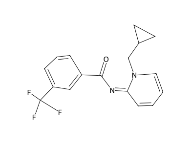 O=C(N=c1ccccn1CC1CC1)c1cccc(C(F)(F)F)c1